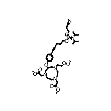 COOCCN1CCN(CC(=O)OC)CCN(CC(=O)OC)CC(Oc2ccc(C#CCCCOP(OCCC#N)N(C(C)C)C(C)C)cc2)C1